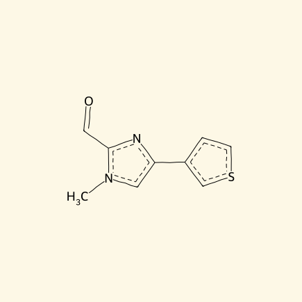 Cn1cc(-c2ccsc2)nc1C=O